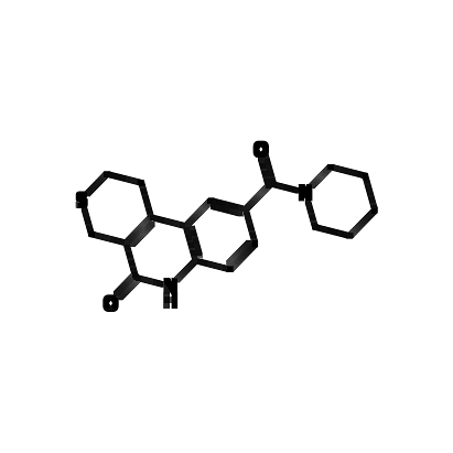 O=C(c1ccc2[nH]c(=O)c3c(c2c1)CCSC3)N1CCCCC1